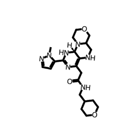 Cn1nccc1C1=NC(CC(=O)NCC2CCOCC2)=C2NCC3COCCN3[C@H]2N1